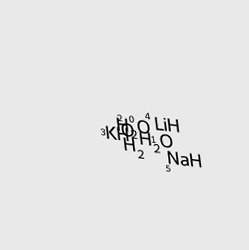 O.O.O.[KH].[LiH].[NaH]